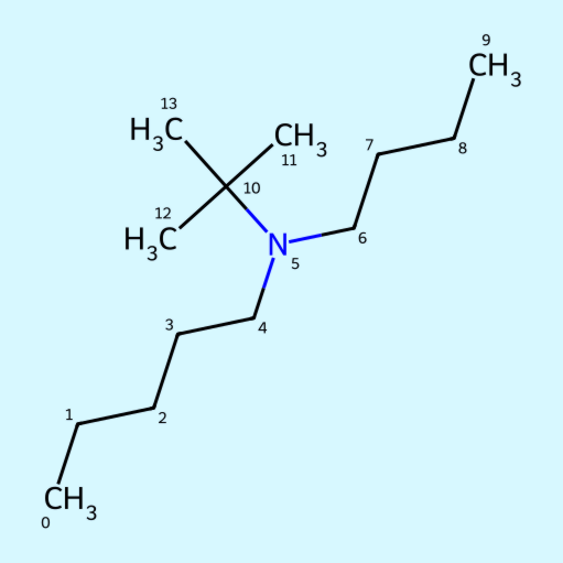 CCCCCN(CCCC)C(C)(C)C